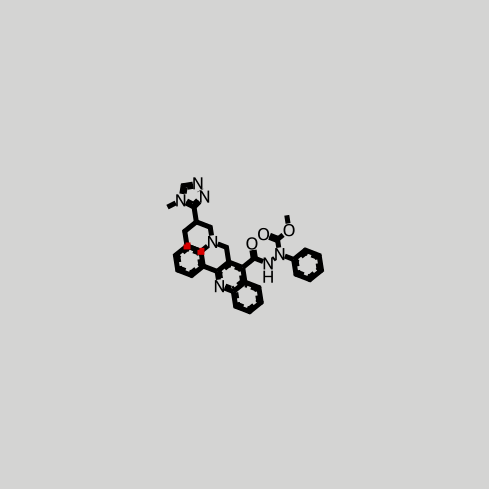 COC(=O)N(NC(=O)c1c(CN2CCCC(c3nncn3C)C2)c(-c2ccccc2)nc2ccccc12)c1ccccc1